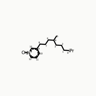 CC(C)CCCC(C)CCCc1ccc[n+]([O-])c1